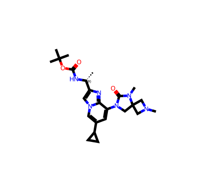 C[C@@H](NC(=O)OC(C)(C)C)c1cn2cc(C3CC3)cc(N3CC4(CN(C)C4)N(C)C3=O)c2n1